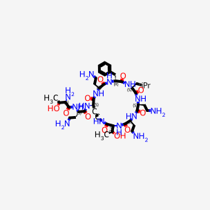 CC(C)C[C@@H]1NC(=O)[C@@H](Cc2ccccc2)NC(=O)[C@H](CCN)NC(=O)[C@@H](NC(=O)[C@H](CCN)NC(=O)[C@@H](N)C(C)O)CCNC(=O)[C@H]([C@H](C)O)NC(=O)[C@H](CCN)NC(=O)[C@H](CCN)NC1=O